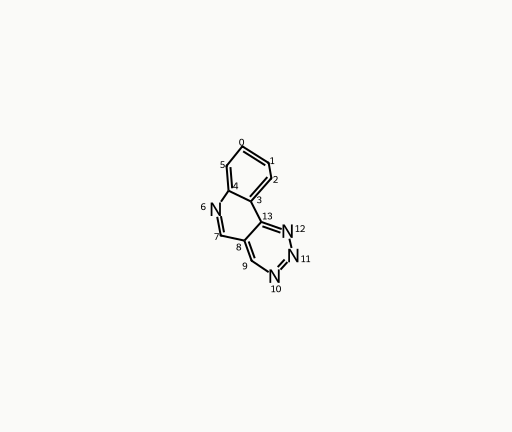 c1ccc2c(c1)ncc1cnnnc12